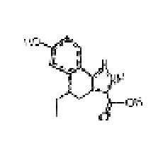 CCC1Cc2c(n[nH]c2C(=O)O)-c2ccc(O)cc21